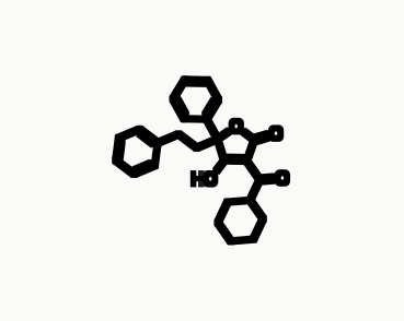 O=C1OC(CCc2ccccc2)(c2ccccc2)C(O)=C1C(=O)C1CCCCC1